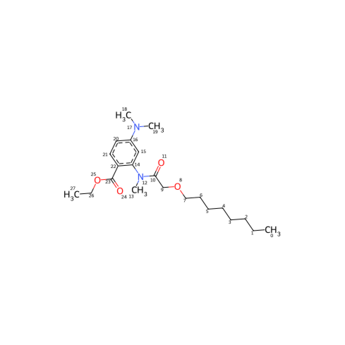 CCCCCCCCOCC(=O)N(C)c1cc(N(C)C)ccc1C(=O)OCC